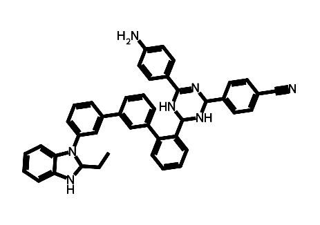 CCC1Nc2ccccc2N1c1cccc(-c2cccc(-c3ccccc3C3NC(c4ccc(N)cc4)=NC(c4ccc(C#N)cc4)N3)c2)c1